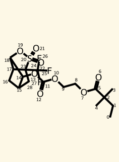 CCC(C)(C)C(=O)OCCOC(=O)OC1C2CC3C1OS(=O)(=O)C3(C(F)(F)F)C2